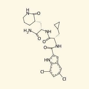 NC(=O)[C@H](C[C@@H]1CCCNC1=O)NC(=O)[C@H](CC1CC1)NC(=O)c1cc2cc(Cl)cc(Cl)c2[nH]1